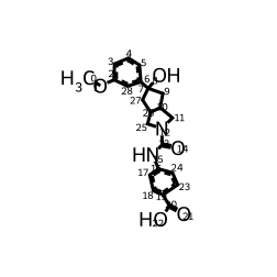 COc1cccc(C2(O)CC3CN(C(=O)Nc4ccc(C(=O)O)cc4)CC3C2)c1